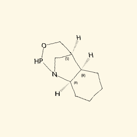 C1CC[C@@H]2[C@H](C1)[C@@H]1COPN2C1